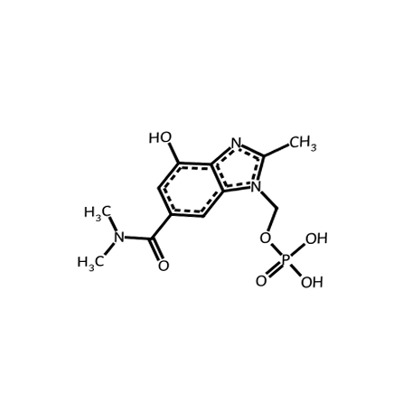 Cc1nc2c(O)cc(C(=O)N(C)C)cc2n1COP(=O)(O)O